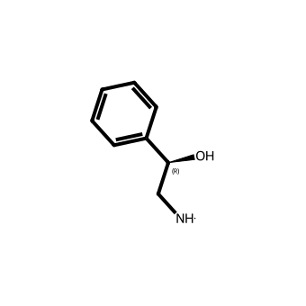 [NH]C[C@H](O)c1ccccc1